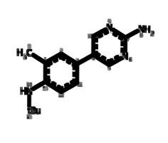 Cc1cc(-c2cnc(N)nc2)ccc1NC(C)(C)C